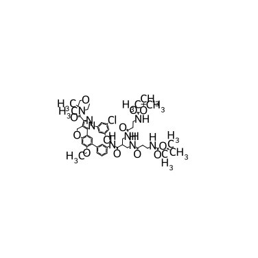 COc1cc2c(cc1-c1cccc(NC(=O)C(CNC(=O)CCNC(=O)OC(C)(C)C)CNC(=O)CCNC(=O)OC(C)(C)C)c1)-c1c(c(C(=O)N3CCOCC3(C)C)nn1-c1cc(Cl)cc(Cl)c1)CO2